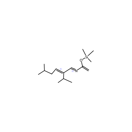 C=C(/N=C/C(=C/CC(C)C)C(C)C)O[Si](C)(C)C